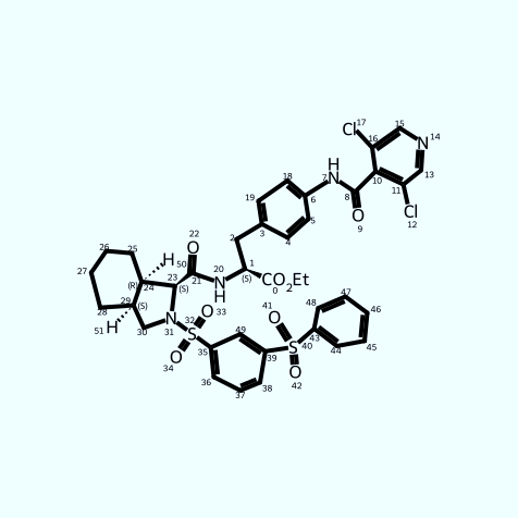 CCOC(=O)[C@H](Cc1ccc(NC(=O)c2c(Cl)cncc2Cl)cc1)NC(=O)[C@@H]1[C@@H]2CCCC[C@@H]2CN1S(=O)(=O)c1cccc(S(=O)(=O)c2ccccc2)c1